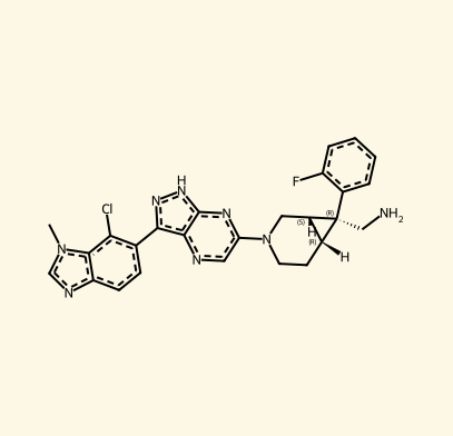 Cn1cnc2ccc(-c3n[nH]c4nc(N5CC[C@@H]6[C@H](C5)[C@@]6(CN)c5ccccc5F)cnc34)c(Cl)c21